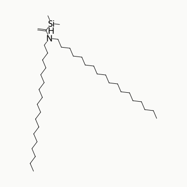 C=C(N(CCCCCCCCCCCCCCCCCC)CCCCCCCCCCCCCCCCCC)[SiH](C)C